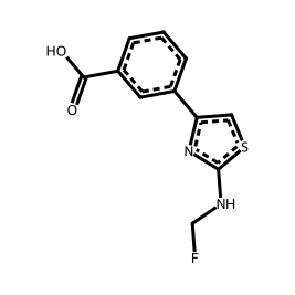 O=C(O)c1cccc(-c2csc(NCF)n2)c1